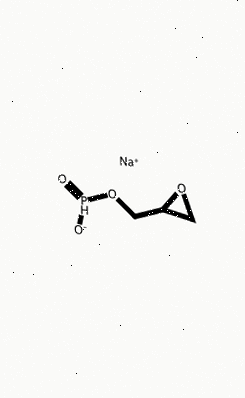 O=[PH]([O-])OCC1CO1.[Na+]